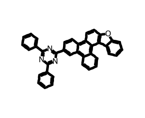 c1ccc(-c2nc(-c3ccccc3)nc(-c3ccc4c(c3)c3ccccc3c3c4ccc4oc5ccccc5c43)n2)cc1